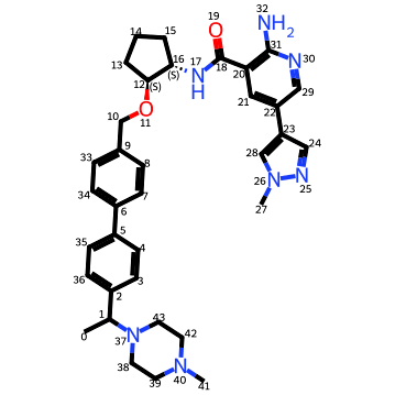 CC(c1ccc(-c2ccc(CO[C@H]3CCC[C@@H]3NC(=O)c3cc(-c4cnn(C)c4)cnc3N)cc2)cc1)N1CCN(C)CC1